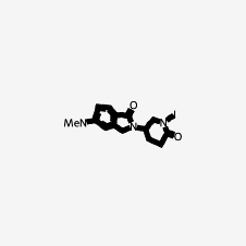 CNc1ccc2c(c1)CN(C1CCC(=O)N(I)C1)C2=O